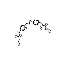 CCCCC(=O)OC(C)c1ccc(CCOc2ccc(CC(SC)C(=O)NC=O)cc2)nc1